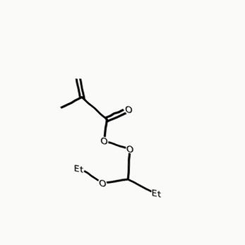 C=C(C)C(=O)OOC(CC)OCC